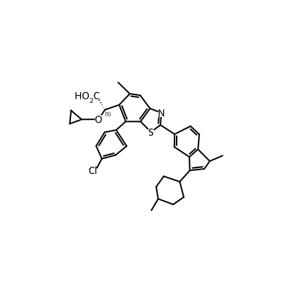 Cc1cc2nc(-c3ccc4c(c3)C(C3CCC(C)CC3)=CC4C)sc2c(-c2ccc(Cl)cc2)c1[C@H](OC1CC1)C(=O)O